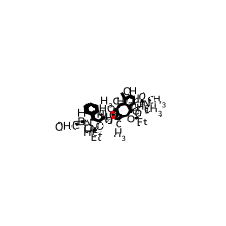 CCC(=O)O[C@H]1C(=O)[C@]2(C)[C@@H](OC(=O)N(C)C)C[C@H]3OC[C@@]3(C)[C@H]2[C@H](C)[C@]2(O)C[C@H](OC(=O)[C@H](OC(=O)CC)[C@@H](NBC=O)c3ccccc3)C(C)=C1C2(C)C